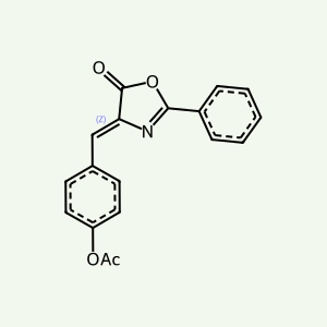 CC(=O)Oc1ccc(/C=C2\N=C(c3ccccc3)OC2=O)cc1